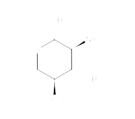 N[C@H]1[C@H](O)[C@@H](O)CO[C@@H]1O